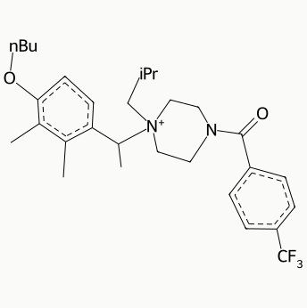 CCCCOc1ccc(C(C)[N+]2(CC(C)C)CCN(C(=O)c3ccc(C(F)(F)F)cc3)CC2)c(C)c1C